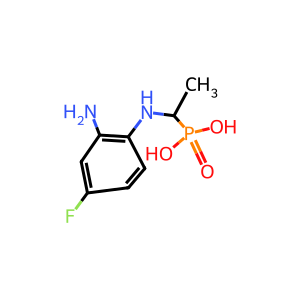 CC(Nc1ccc(F)cc1N)P(=O)(O)O